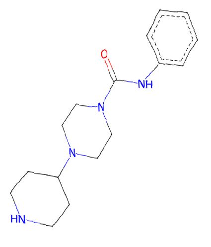 O=C(Nc1ccccc1)N1CCN(C2CCNCC2)CC1